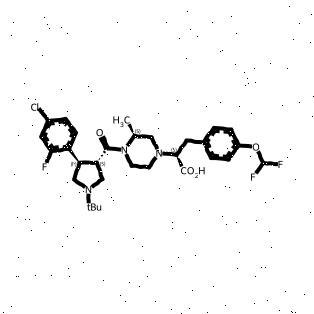 C[C@H]1CN([C@@H](Cc2ccc(OC(F)F)cc2)C(=O)O)CCN1C(=O)[C@@H]1CN(C(C)(C)C)C[C@H]1c1ccc(Cl)cc1F